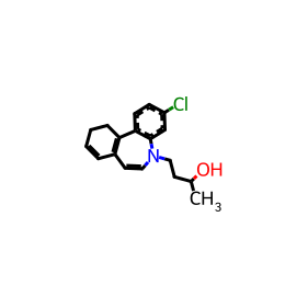 CC(O)CCN1C=CC2=C(CCC=C2)c2ccc(Cl)cc21